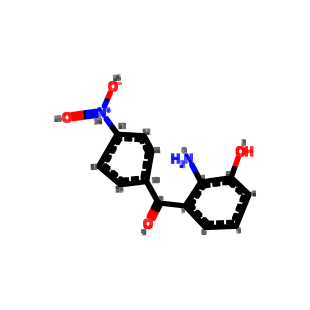 Nc1c(O)cccc1C(=O)c1ccc([N+](=O)[O-])cc1